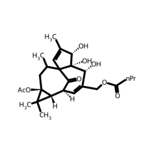 CCCC(=O)OCC1=C[C@@H]2C(=O)C3(C=C(C)[C@H](O)[C@@]3(O)[C@@H]1O)C(C)C[C@]1(OC(C)=O)[C@H]2C1(C)C